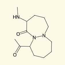 CNC1CCCN2CCCCC(C(C)=O)N2C1=O